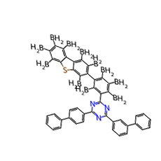 Bc1c(B)c(-c2nc(-c3ccc(-c4ccccc4)cc3)nc(-c3cccc(-c4ccccc4)c3)n2)c(B)c(-c2c(B)c(B)c3c(sc4c(B)c(B)c(B)c(B)c43)c2B)c1B